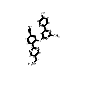 Cc1nc(Oc2cc(C#N)ccc2-c2ncc(CN)cn2)cc(-c2ccc(F)cn2)n1